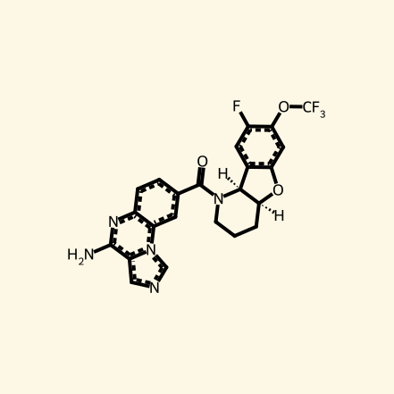 Nc1nc2ccc(C(=O)N3CCC[C@@H]4Oc5cc(OC(F)(F)F)c(F)cc5[C@@H]43)cc2n2cncc12